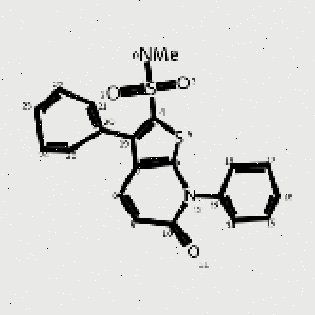 CNS(=O)(=O)c1sc2c(ccc(=O)n2-c2ccccc2)c1-c1ccccc1